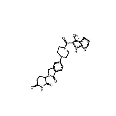 Cc1c(C(=O)N2CCC(c3ccc4c(c3)CN(C3CCC(=O)NC3=O)C4=O)CC2)[nH]c2ncccc12